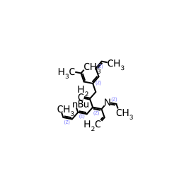 C=CC(/N=C\C)=C(\C=C(\C=C/C)CCCC)C(=C)C/C(C=C(C)C)=C/C=C\C